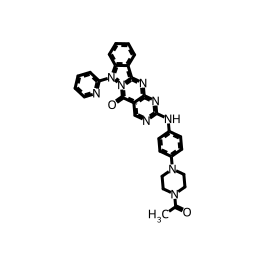 CC(=O)N1CCN(c2ccc(Nc3ncc4c(=O)n5c(nc4n3)c3ccccc3n5-c3ccccn3)cc2)CC1